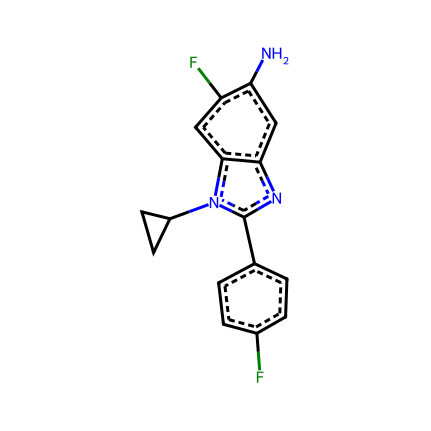 Nc1cc2nc(-c3ccc(F)cc3)n(C3CC3)c2cc1F